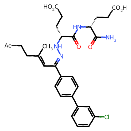 CC(=O)CC/C(C)=C/C(=N\N[C@H](CCC(=O)O)C(=O)N[C@H](CCC(=O)O)C(N)=O)c1ccc(-c2cccc(Cl)c2)cc1